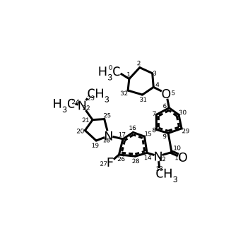 CC1CCC(Oc2ccc(C(=O)N(C)c3ccc(N4CCC(N(C)C)C4)c(F)c3)cc2)CC1